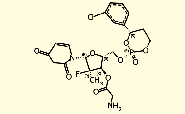 C[C@@]1(F)[C@H](OC(=O)CN)[C@@H](CO[P@@]2(=O)OCC[C@@H](c3cccc(Cl)c3)O2)O[C@H]1N1C=CC(=O)CC1=O